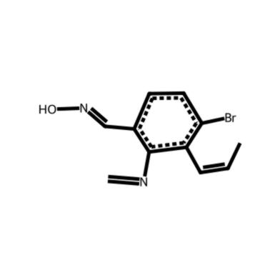 C=Nc1c(/C=N/O)ccc(Br)c1/C=C\C